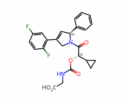 O=C(O)CNC(=O)O[C@H](C(=O)N1CC(c2cc(F)ccc2F)=C[C@H]1c1ccccc1)C1CC1